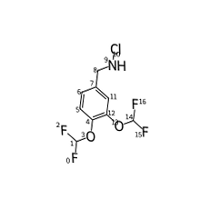 FC(F)Oc1ccc(CNCl)cc1OC(F)F